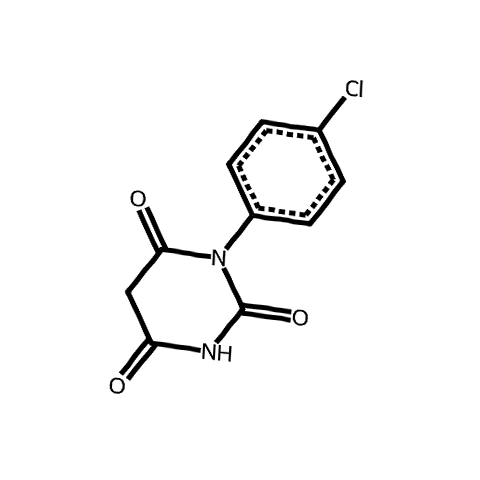 O=C1CC(=O)N(c2ccc(Cl)cc2)C(=O)N1